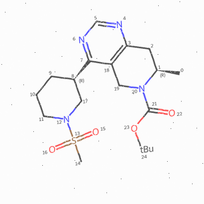 C[C@@H]1Cc2ncnc([C@@H]3CCCN(S(C)(=O)=O)C3)c2CN1C(=O)OC(C)(C)C